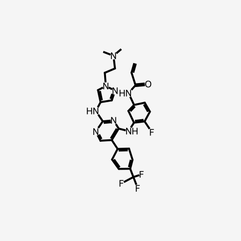 C=CC(=O)Nc1ccc(F)c(Nc2nc(Nc3cnn(CCN(C)C)c3)ncc2-c2ccc(C(F)(F)F)cc2)c1